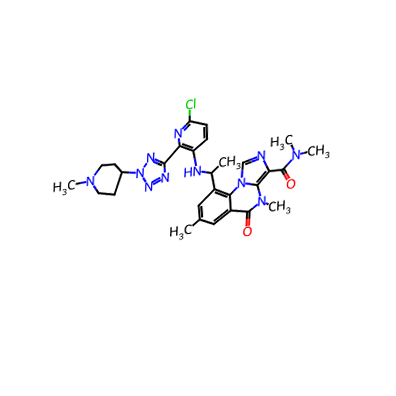 Cc1cc(C(C)Nc2ccc(Cl)nc2-c2nnn(C3CCN(C)CC3)n2)c2c(c1)c(=O)n(C)c1c(C(=O)N(C)C)ncn21